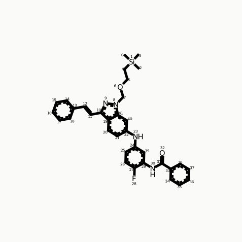 C[Si](C)(C)CCOCn1nc(C=Cc2ccccc2)c2ccc(Nc3ccc(F)c(NC(=O)c4ccccc4)c3)cc21